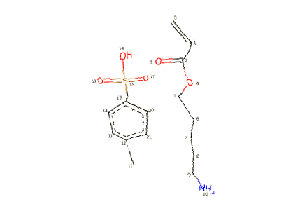 C=CC(=O)OCCCCCN.Cc1ccc(S(=O)(=O)O)cc1